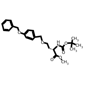 COC(=O)[C@H](CCOCc1ccc(OCc2ccccc2)cc1)NC(=O)OC(C)(C)C